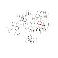 CC(C)(C)c1cc(CCNC(=O)c2c(CCc3cc(C(C)(C)C)c(O)c(C(C)(C)C)c3)c(C(N)=O)c(CCc3cc(C(C)(C)C)c(O)c(C(C)(C)C)c3)c(C(=O)N(CCc3cc(C(C)(C)C)c(O)c(C(C)(C)C)c3)CCc3cc(C(C)(C)C)c(O)c(C(C)(C)C)c3)c2CCc2cc(C(C)(C)C)c(O)c(C(C)(C)C)c2)cc(C(C)(C)C)c1O